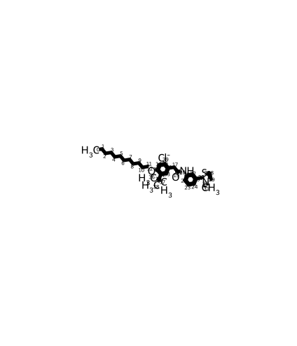 CCCCCCCCCCCCOc1ccc(CC(=O)Nc2cccc(-c3scc[n+]3C)c2)cc1C(C)(C)C.[Cl-]